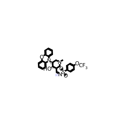 CN1CC(/C=N\S(=O)(=O)c2ccc(OC(F)(F)F)cc2)[C@H](O)[C@@H](N2c3ccccc3Oc3ccccc32)C1